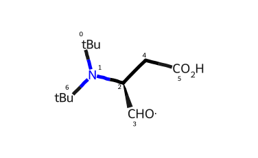 CC(C)(C)N([C@H]([C]=O)CC(=O)O)C(C)(C)C